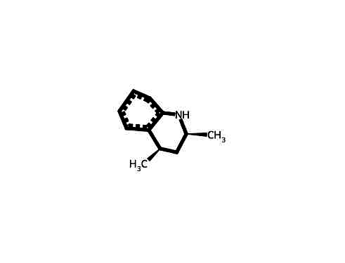 C[C@@H]1C[C@H](C)Nc2ccccc21